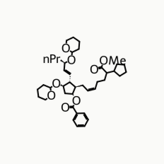 CCC[C@H](/C=C/[C@@H]1[C@@H](C/C=C\CCC(C(=O)OC)C2CCCC2)[C@H](OC(=O)c2ccccc2)C[C@H]1OC1CCCCO1)OC1CCCCO1